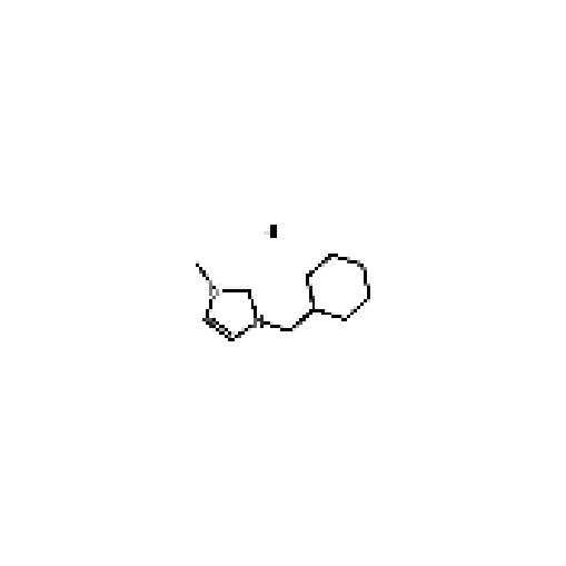 CN1C=CN(CC2CCCCC2)C1.I